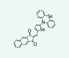 O=C1C(=Cc2ccc(N3c4ccccc4[Se]c4ccccc43)[se]2)C(=O)c2cc3ccccc3cc21